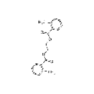 Cc1ccccc1C(=O)OCCOC(=O)c1ccccc1C